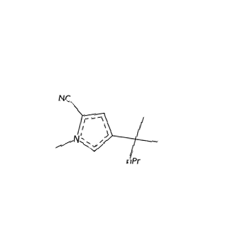 CCCC(C)(C)c1cc(C#N)n(C)c1